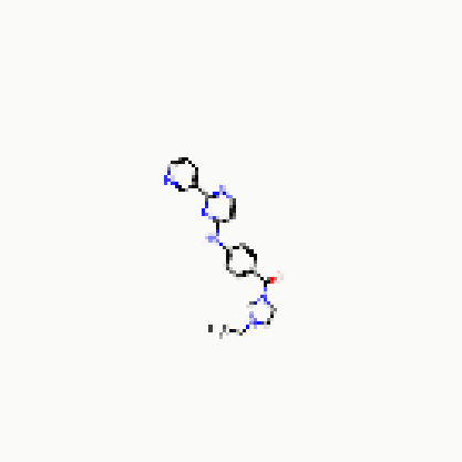 CCN1CCN(C(=O)c2ccc(Nc3ccnc(-c4cccnc4)n3)cc2)C1